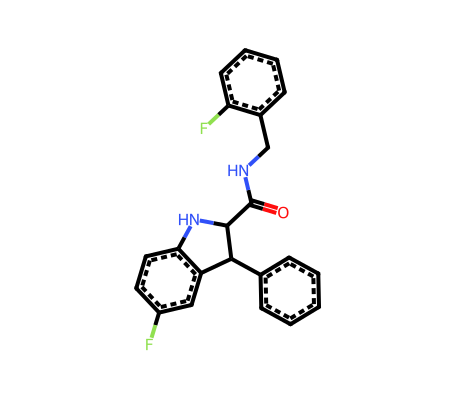 O=C(NCc1ccccc1F)C1Nc2ccc(F)cc2C1c1ccccc1